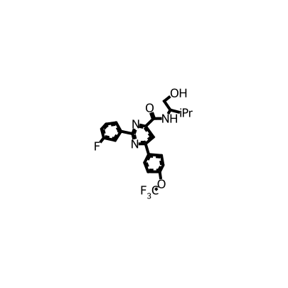 CC(C)C(CO)NC(=O)c1cc(-c2ccc(OC(F)(F)F)cc2)nc(-c2cccc(F)c2)n1